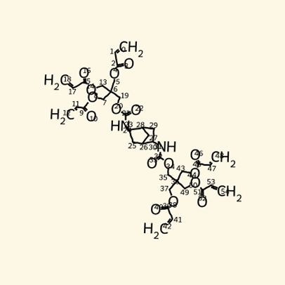 C=CC(=O)OCC(COC(=O)C=C)(COC(=O)C=C)COC(=O)NC1CC2CC1CC2NC(=O)OCC(COC(=O)C=C)(COC(=O)C=C)COC(=O)C=C